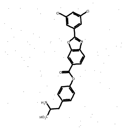 NC(Cc1ccc(OC(=O)c2ccc3nc(-c4cc(Cl)cc(Cl)c4)oc3c2)cc1)C(=O)O